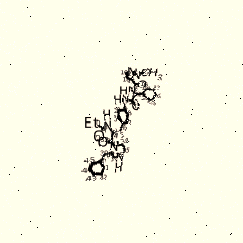 CCC(=O)N[C@H](Cc1ccc(NC(=O)[C@@H](NC(=O)c2ccnn2C)C2CCCCC2)cc1)C(=O)N1CCNC[C@H]1Cc1ccccc1